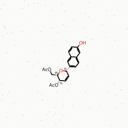 CC(=O)OC[C@H]1O[C@H](c2ccc3cc(O)ccc3c2)C=C[C@@H]1OC(C)=O